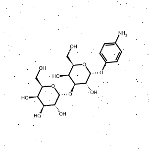 Nc1ccc(O[C@H]2O[C@H](CO)[C@H](O)[C@H](O[C@H]3O[C@H](CO)[C@H](O)[C@H](O)[C@H]3O)[C@H]2O)cc1